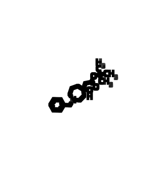 CC(C)(C)OC(=O)CC1(O)CCCN(Cc2ccccc2)CC1